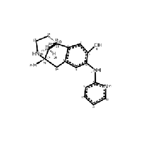 Oc1cc2c(cc1Nc1ccccn1)C[C@@H]1NCC[C@]23CCCC[C@H]13